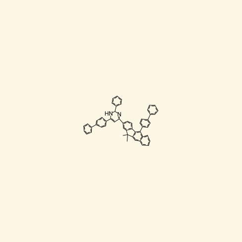 CC1(C)c2cc(C3=NC(c4ccccc4)NC(c4ccc(-c5ccccc5)cc4)=C3)ccc2-c2c1cc1ccccc1c2-c1ccc(-c2ccccc2)cc1